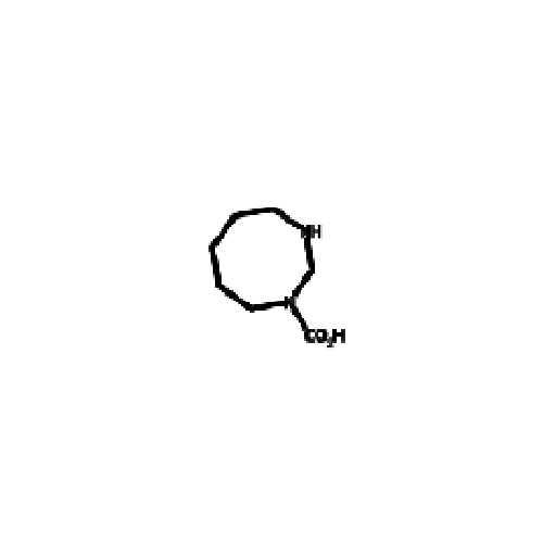 O=C(O)N1CCCCCNC1